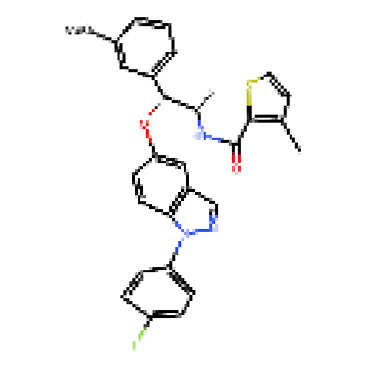 COc1cccc([C@@H](Oc2ccc3c(cnn3-c3ccc(F)cc3)c2)[C@H](C)NC(=O)c2sccc2C)c1